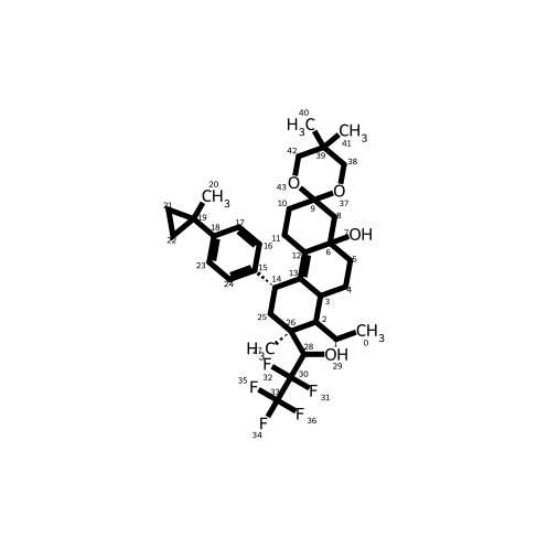 CCC1C2CCC3(O)CC4(CCC3=C2[C@@H](c2ccc(C3(C)CC3)cc2)C[C@]1(C)C(O)C(F)(F)C(F)(F)F)OCC(C)(C)CO4